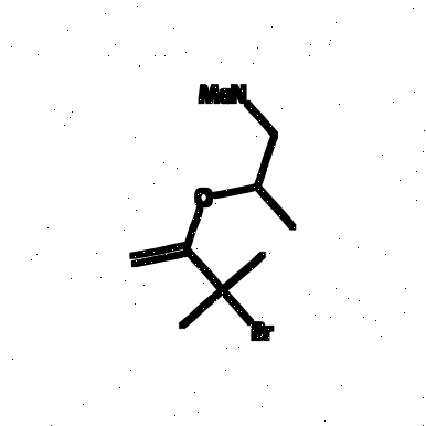 C=C(OC(C)CNC)C(C)(C)Br